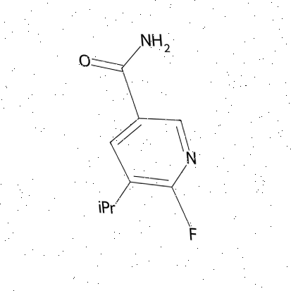 CC(C)c1cc(C(N)=O)cnc1F